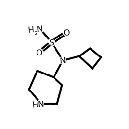 NS(=O)(=O)N(C1CCC1)C1CCNCC1